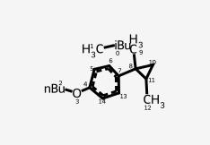 CCC(C)C.[CH2]CCCOc1ccc(C2(C)CC2C)cc1